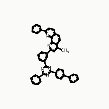 Cc1cc(-c2cccc(-c3nc(-c4ccccc4)nc(-c4ccc(-c5ccccc5)cc4)n3)c2)nc2c1ccc1ccc(-c3ccccc3)nc12